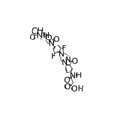 CC(=O)NC[C@H]1CN(c2cc(F)c(N3CCn4c(=O)c5cc(NC(=O)CC(=O)O)ccc5n4CC3)c(F)c2)C(=O)O1